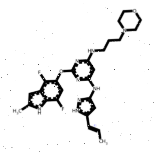 C/C=C/c1cc(Nc2cc(NCCCN3CCOCC3)nc(Oc3cc(F)c4[nH]c(C)cc4c3F)n2)n[nH]1